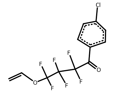 C=COC(F)(F)C(F)(F)C(F)(F)C(=O)c1ccc(Cl)cc1